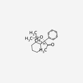 CC(=O)[C@](O[Si](C)(C)C)(c1ccccc1)C1CCCCC1